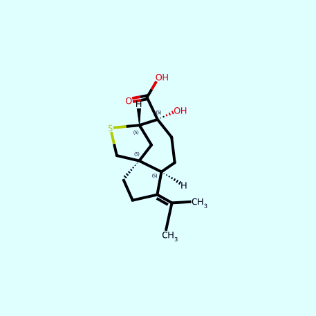 CC(C)=C1CC[C@]23CS[C@@H](C2)[C@@](O)(C(=O)O)CC[C@@H]13